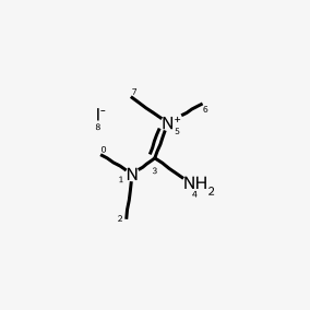 CN(C)C(N)=[N+](C)C.[I-]